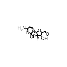 Nc1ccn(C2OC(C=O)C(O)C2(F)F)c(=O)n1